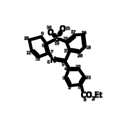 CCOC(=O)c1ccc(C2=NC3=C(CCC=C3)S(=O)(=O)c3ccccc32)cc1